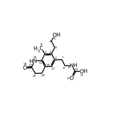 Cc1c(CCO)c(CCNC(=O)O)cc2c1NC(=O)CC2